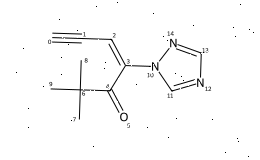 C#CC=C(C(=O)C(C)(C)C)n1cncn1